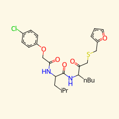 CCCCC(NC(=O)C(CC(C)C)NC(=O)COc1ccc(Cl)cc1)C(=O)CSCc1ccco1